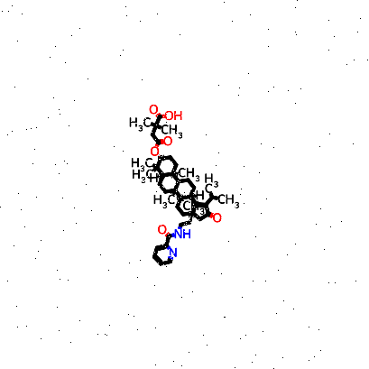 CC(C)C1=C2[C@H]3CCC4[C@@]5(C)CC[C@H](OC(=O)CC(C)(C)C(=O)O)C(C)(C)[C@@H]5CC[C@@]4(C)[C@]3(C)CC[C@@]2(CCNC(=O)c2ccccn2)CC1=O